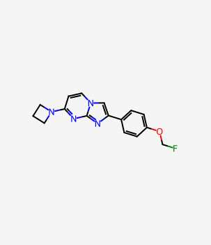 FCOc1ccc(-c2cn3ccc(N4CCC4)nc3n2)cc1